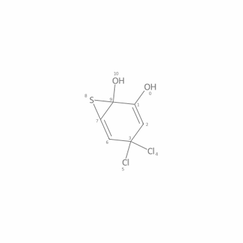 OC1=CC(Cl)(Cl)C=C2SC12O